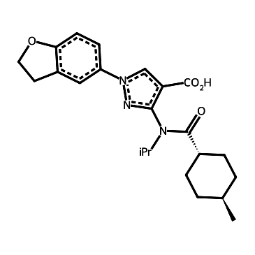 CC(C)N(c1nn(-c2ccc3c(c2)CCO3)cc1C(=O)O)C(=O)[C@H]1CC[C@H](C)CC1